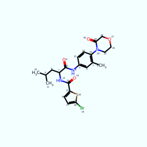 Cc1cc(NC(=O)C(CC(C)C)NC(=O)c2ccc(Br)s2)ccc1N1CCOCC1=O